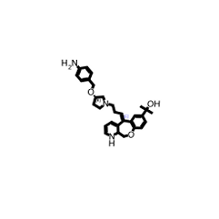 CC(C)(O)c1ccc2c(c1)/C(=C/CCN1CC[C@@H](OCc3ccc(N)cc3)C1)C1=CC=CNC1CO2